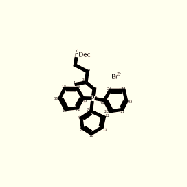 CCCCCCCCCCCCC(C)C[P+](c1ccccc1)(c1ccccc1)c1ccccc1.[Br-]